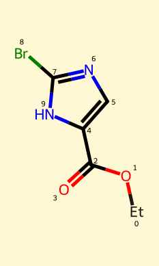 CCOC(=O)c1cnc(Br)[nH]1